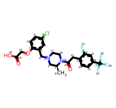 C[C@H]1CN(Cc2cc(Cl)ccc2OCC(=O)O)CCN1C(=O)Cc1ccc(C(F)(F)F)cc1F